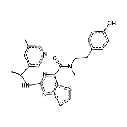 Cc1cncc([C@H](C)Nc2nc(C(=O)N(C)CCc3ccc(O)cc3)c3sccc3n2)c1